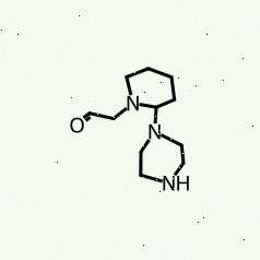 O=CCN1CCCCC1N1CCNCC1